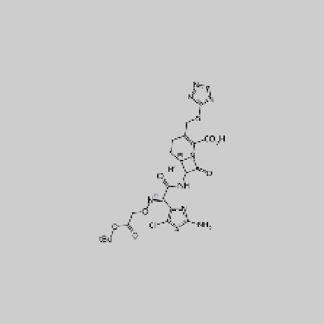 CC(C)(C)OC(=O)CO/N=C(/C(=O)NC1C(=O)N2C(C(=O)O)=C(CSc3nncs3)CS[C@H]12)c1nc(N)sc1Cl